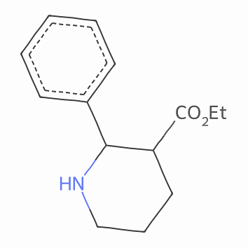 CCOC(=O)C1CCCNC1c1ccccc1